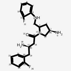 N[C@@H]1CC(CNc2ccccc2F)N(C(=O)C[C@H](N)Cc2ccccc2F)C1